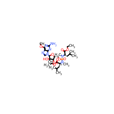 CCOC(=O)[C@H](CC(C)C)N(C)P(=O)(OC[C@H]1OC(n2cnc3c(OC)nc(N)nc32)C(C)(O)C1O)N(C)[C@@H](CC(C)C)C(=O)OCC